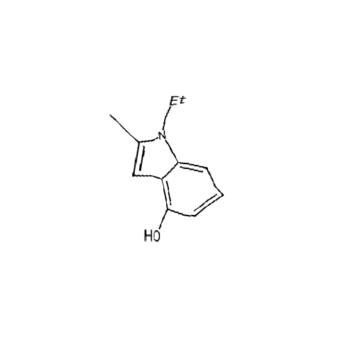 CCn1c(C)cc2c(O)cccc21